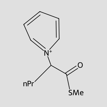 CCCC(C(=O)SC)[n+]1ccccc1